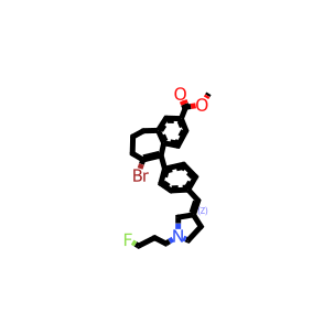 COC(=O)c1ccc2c(c1)CCCC(Br)=C2c1ccc(/C=C2/CCN(CCCF)C2)cc1